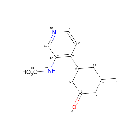 CC1CC(=O)CC(c2ccncc2NC(=O)O)C1